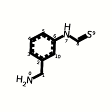 NCc1cccc(NC=S)c1